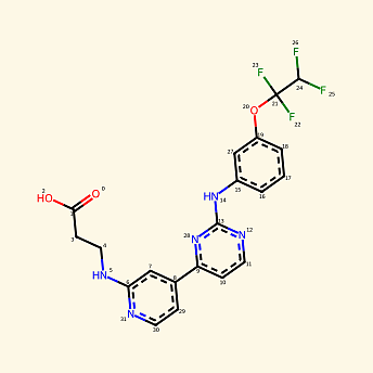 O=C(O)CCNc1cc(-c2ccnc(Nc3cccc(OC(F)(F)C(F)F)c3)n2)ccn1